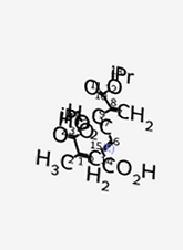 C=C(C)C(=O)OC(C)C.C=C(C)C(=O)OC(C)C.O=C(O)/C=C/C(=O)O